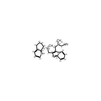 CC(C)CN(C)Cc1c(CN(C)[C@H]2CCCc3cccnc32)nc2ccccn12